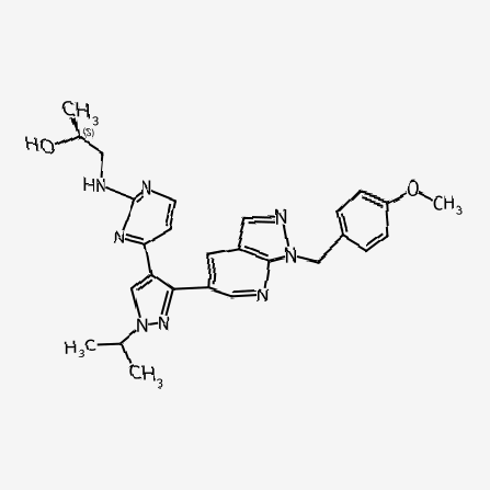 COc1ccc(Cn2ncc3cc(-c4nn(C(C)C)cc4-c4ccnc(NC[C@H](C)O)n4)cnc32)cc1